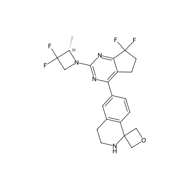 C[C@@H]1N(c2nc(-c3ccc4c(c3)CCNC43COC3)c3c(n2)C(F)(F)CC3)CC1(F)F